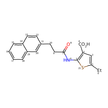 CCc1cc(C(=O)O)c(NC(=O)CCc2ccc3ccccc3c2)s1